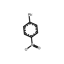 O=[N+]([O-])c1cc[c]([Pb])cc1